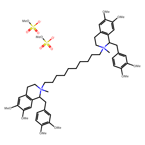 COS(=O)(=O)[O-].COS(=O)(=O)[O-].COc1ccc(CC2c3cc(OC)c(OC)cc3CC[N+]2(C)CCCCCCCCCC[N+]2(C)CCc3cc(OC)c(OC)cc3C2Cc2ccc(OC)c(OC)c2)cc1OC